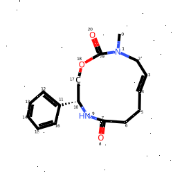 CN1C/C=C/CCC(=O)N[C@H](c2ccccc2)COC1=O